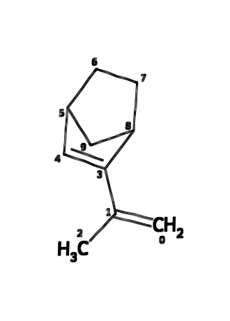 C=C(C)C1=CC2CCC1C2